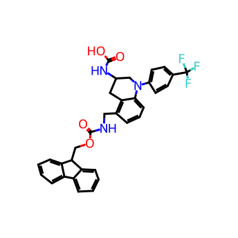 O=C(O)NC1Cc2c(CNC(=O)OCC3c4ccccc4-c4ccccc43)cccc2N(c2ccc(C(F)(F)F)cc2)C1